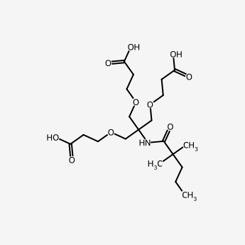 CCCC(C)(C)C(=O)NC(COCCC(=O)O)(COCCC(=O)O)COCCC(=O)O